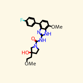 COCCC1(O)CCN(C(=O)Nc2nc3c(-c4ccc(F)cc4)ccc(OC)c3[nH]2)C1